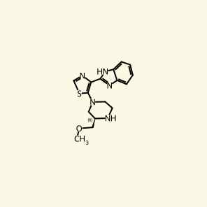 COC[C@H]1CN(c2scnc2-c2nc3ccccc3[nH]2)CCN1